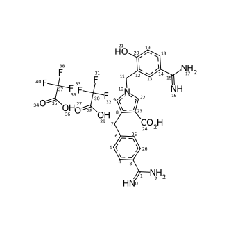 N=C(N)c1ccc(Cc2cn(Cc3cc(C(=N)N)ccc3O)cc2C(=O)O)cc1.O=C(O)C(F)(F)F.O=C(O)C(F)(F)F